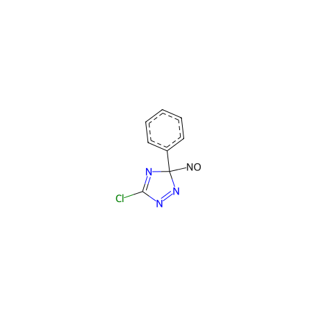 O=NC1(c2ccccc2)N=NC(Cl)=N1